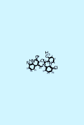 Cc1cccnc1C(=O)N(Cc1cc(=O)[nH]c2c(F)cccc12)c1cccc(Cl)c1